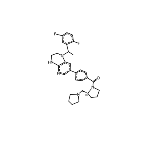 CC(c1cc(F)ccc1F)N1CCNc2ncc(-c3ccc(C(=O)N4CCC[C@H]4CN4CCCC4)cc3)cc21